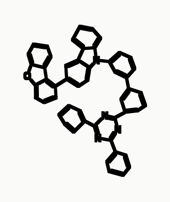 c1ccc(-c2nc(-c3ccccc3)nc(-c3cccc(-c4cccc(-n5c6ccccc6c6cc(-c7cccc8oc9ccccc9c78)ccc65)c4)c3)n2)cc1